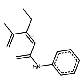 C=C(/C=C(/CC)C(=C)C)Nc1ccccc1